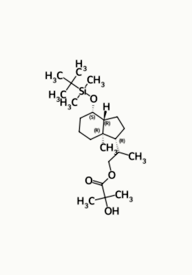 CC(COC(=O)C(C)(C)O)[C@H]1CC[C@H]2[C@@H](O[Si](C)(C)C(C)(C)C)CCC[C@]12C